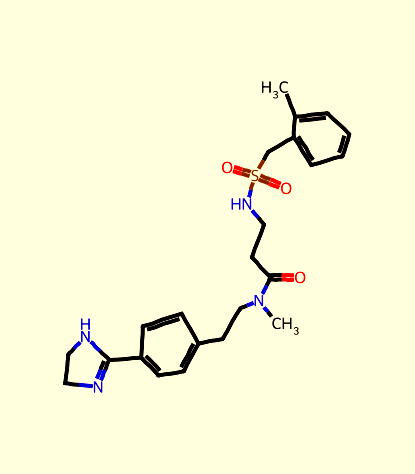 Cc1ccccc1CS(=O)(=O)NCCC(=O)N(C)CCc1ccc(C2=NCCN2)cc1